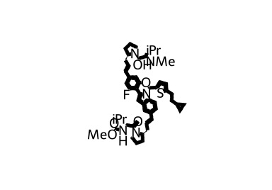 CN[C@@H](C(C)C)C(O)N1CCC[C@H]1CC=Cc1cc(F)c2c(c1)OC(c1ccc(CCC3CC3)s1)n1c-2cc2cc(C=CC[C@@H]3CCCN3C(=O)[C@@H](NC(=O)OC)C(C)C)ccc21